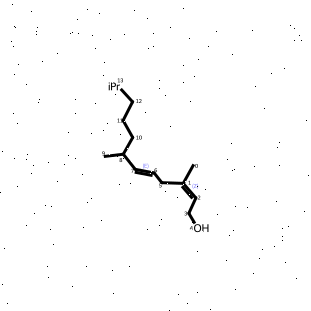 C/C(=C/CO)C/C=C/C(C)CCCC(C)C